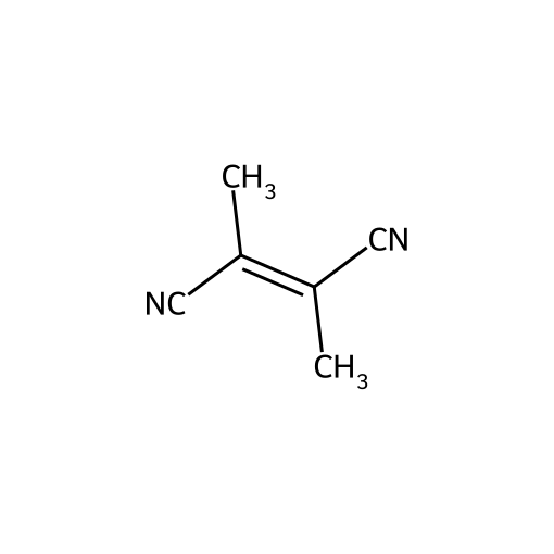 C/C(C#N)=C(/C)C#N